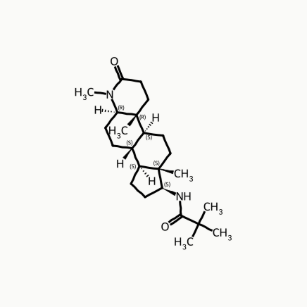 CN1C(=O)CC[C@]2(C)[C@H]3CC[C@]4(C)[C@@H](NC(=O)C(C)(C)C)CC[C@H]4[C@@H]3CC[C@@H]12